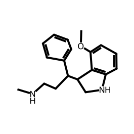 CNCCC(c1ccccc1)C1CNc2cccc(OC)c21